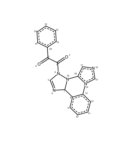 O=C(C(=O)N1C=NC2c3ccccc3-n3cncc3N21)c1ccccc1